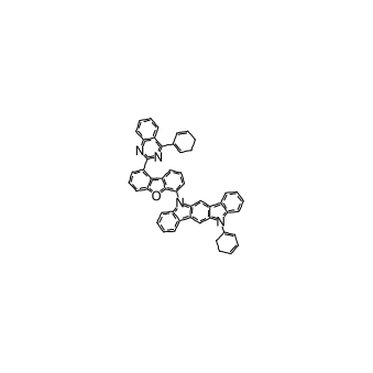 C1=CCCC(n2c3ccccc3c3cc4c(cc32)c2ccccc2n4-c2cccc3c2oc2cccc(-c4nc(C5=CCCC=C5)c5ccccc5n4)c23)=C1